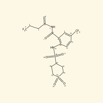 C=C(CCC(F)(F)F)NC(=O)c1cc(C(F)(F)F)ccc1NS(=O)(=O)C1CCS(=O)(=O)CC1